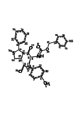 O=C(N[C@@H](Cc1ccc(O)cc1)C(=O)N1C(c2ccccc2)SC[C@H]1C(=O)O)OCc1ccccc1